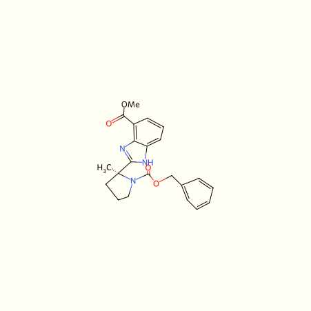 COC(=O)c1cccc2[nH]c([C@]3(C)CCCN3C(=O)OCc3ccccc3)nc12